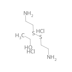 CCO.Cl.Cl.NCCSSCCN